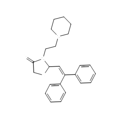 O=C1CSC(C=C(c2ccccc2)c2ccccc2)N1CCN1CCCCC1